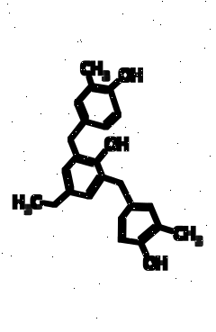 CCc1cc(Cc2ccc(O)c(C)c2)c(O)c(Cc2ccc(O)c(C)c2)c1